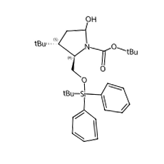 CC(C)(C)OC(=O)N1C(O)C[C@@H](C(C)(C)C)[C@@H]1CO[Si](c1ccccc1)(c1ccccc1)C(C)(C)C